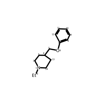 CCN1CCC(COc2cc[c]cc2)CC1